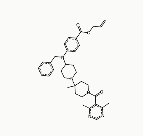 C=CCOC(=O)c1ccc(N(Cc2ccccc2)C2CCN(C3(C)CCN(C(=O)c4c(C)ncnc4C)CC3)CC2)cc1